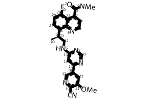 CNC(=O)c1ccnc2c([C@H](C)CNc3cc(-c4cnc(C#N)c(OC)c4)ncn3)ccc(F)c12